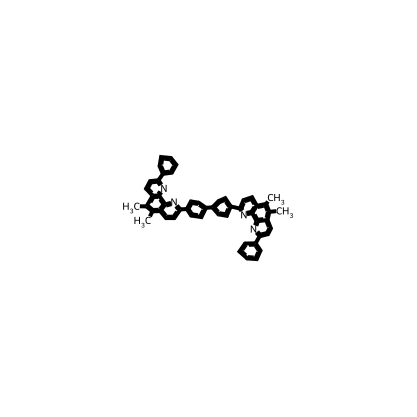 Cc1c(C)c2ccc(-c3ccc(-c4ccc(-c5ccc6c(C)c(C)c7ccc(-c8ccccc8)nc7c6n5)cc4)cc3)nc2c2nc(-c3ccccc3)ccc12